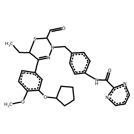 CCC1SC(C=O)N(Cc2ccc(NC(=O)c3ncccn3)cc2)N=C1c1ccc(OC)c(OC2CCCC2)c1